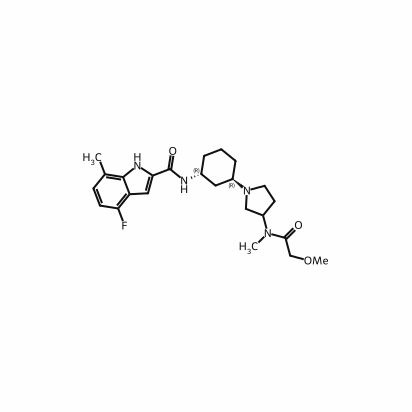 COCC(=O)N(C)C1CCN([C@@H]2CCC[C@@H](NC(=O)c3cc4c(F)ccc(C)c4[nH]3)C2)C1